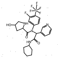 O=C(NC1CCCCC1)C(c1cccnc1)N(C(=O)C1CC(O)CN1)c1ccc(S(F)(F)(F)(F)F)c(F)c1